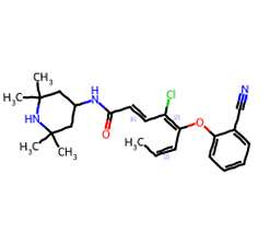 C\C=C/C(Oc1ccccc1C#N)=C(Cl)\C=C\C(=O)NC1CC(C)(C)NC(C)(C)C1